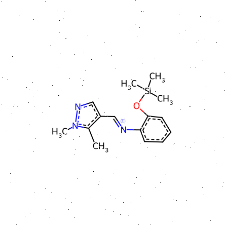 Cc1c(/C=N/c2ccccc2O[Si](C)(C)C)cnn1C